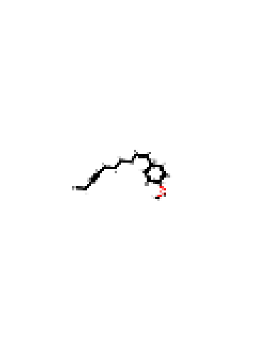 CCC#CCCCC/C=C\c1ccc(OC)cc1